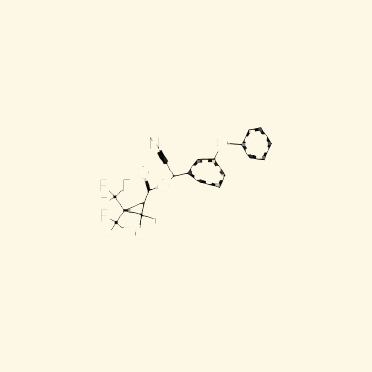 N#CC(OC(=O)C1C(Cl)(Cl)C1(C(F)(F)F)C(F)(F)F)c1cccc(Oc2ccccc2)c1